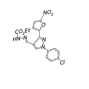 CCOC(=O)NN=Cc1cn(-c2ccc(Cl)cc2)nc1-c1ccc([N+](=O)[O-])o1